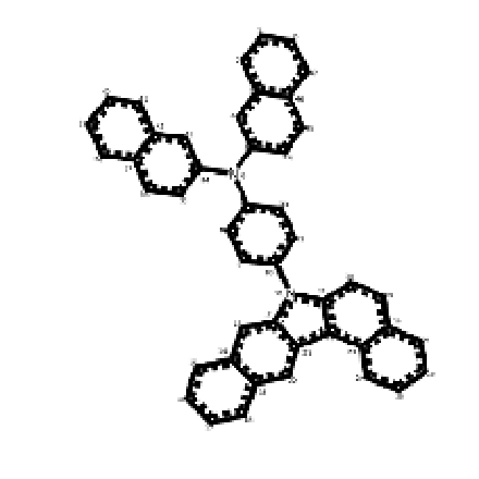 c1ccc2cc(N(c3ccc(-n4c5cc6ccccc6cc5c5c6ccccc6ccc54)cc3)c3ccc4ccccc4c3)ccc2c1